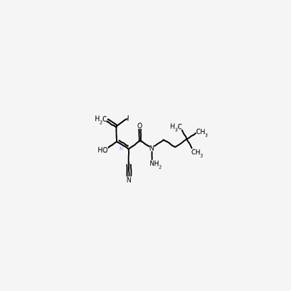 C=C(I)/C(O)=C(/C#N)C(=O)N(N)CCC(C)(C)C